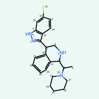 CC(C1NCC(c2n[nH]c3cc(F)ccc23)c2ccccc21)N1CCCCC1